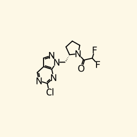 O=C(C(F)F)N1CCC[C@H]1Cn1ncc2cnc(Cl)nc21